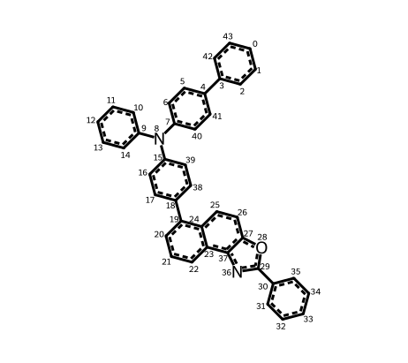 c1ccc(-c2ccc(N(c3ccccc3)c3ccc(-c4cccc5c4ccc4oc(-c6ccccc6)nc45)cc3)cc2)cc1